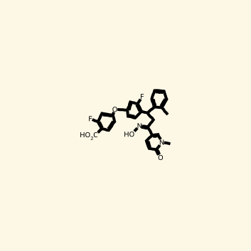 Cc1ccccc1C(CC(=NO)c1ccc(=O)n(C)c1)c1ccc(Oc2ccc(C(=O)O)c(F)c2)cc1F